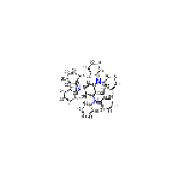 C1=CC2=C(CC1)N(c1ccccc1)c1cc(-n3c4ccccc4c4ccccc43)cc3c1B2c1ccccc1N3c1ccccc1